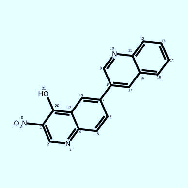 O=[N+]([O-])c1cnc2ccc(-c3cnc4ccccc4c3)cc2c1O